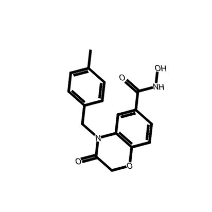 Cc1ccc(CN2C(=O)COc3ccc(C(=O)NO)cc32)cc1